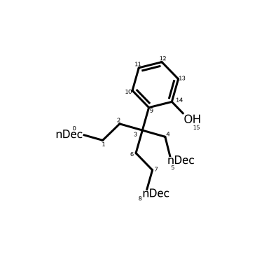 CCCCCCCCCCCCC(CCCCCCCCCCC)(CCCCCCCCCCCC)c1ccccc1O